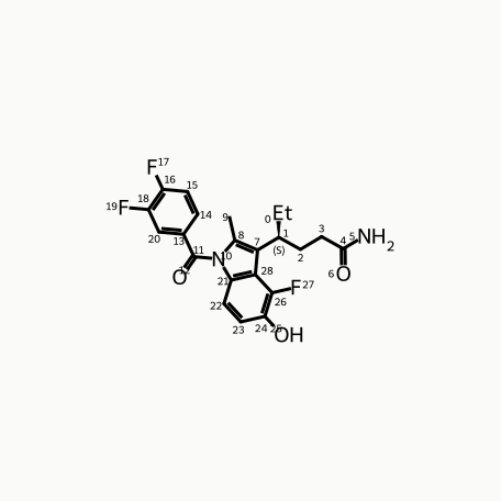 CC[C@@H](CCC(N)=O)c1c(C)n(C(=O)c2ccc(F)c(F)c2)c2ccc(O)c(F)c12